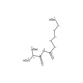 CCCCCCCCCCCCCCCC(=O)OC(=O)C(CCCCCCCC)CCCCCCCCCC